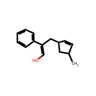 CC1C=CC(C/C(=C/O)c2ccccc2)C1